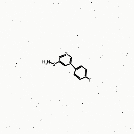 NSc1cncc(-c2ccc(F)cc2)c1